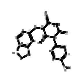 COc1ccc(N2C(=O)NC(=O)C(Cc3ccc4c(c3)OCO4)C2=O)cc1